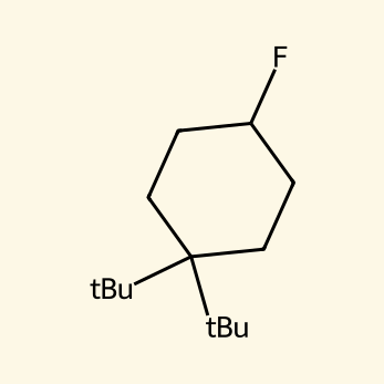 CC(C)(C)C1(C(C)(C)C)CCC(F)CC1